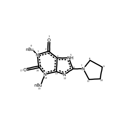 CCCCn1c(=O)c2[nH]c(N3CCCC3)nc2n(CCCC)c1=O